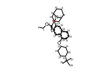 CCOC(=O)C1CC2CCCC(C1)N2Cc1ccc2c(O[C@H]3CC[C@H](C(C)(C)C)CC3)cccc2c1